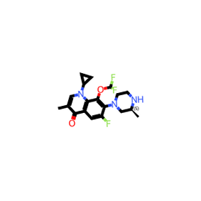 Cc1cn(C2CC2)c2c(OC(F)F)c(N3CCN[C@@H](C)C3)c(F)cc2c1=O